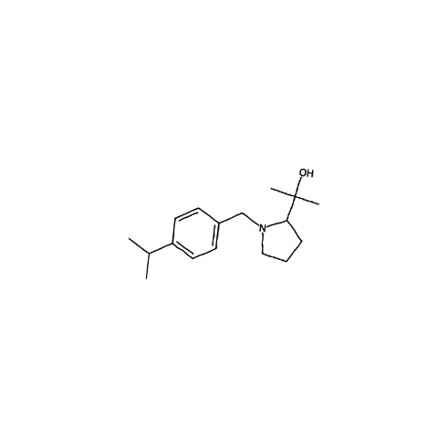 CC(C)c1ccc(CN2CCCC2C(C)(C)O)cc1